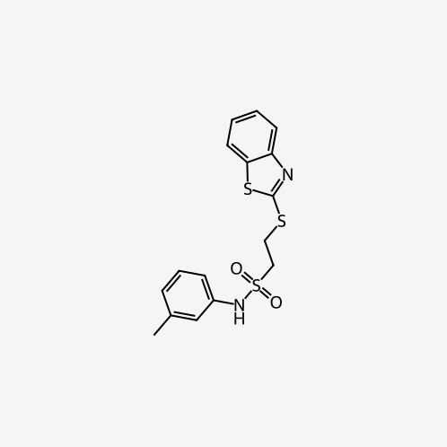 Cc1cccc(NS(=O)(=O)CCSc2nc3ccccc3s2)c1